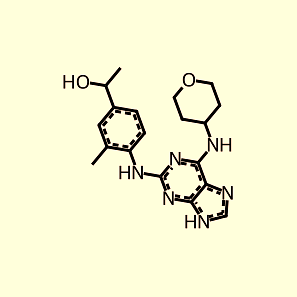 Cc1cc(C(C)O)ccc1Nc1nc(NC2CCOCC2)c2nc[nH]c2n1